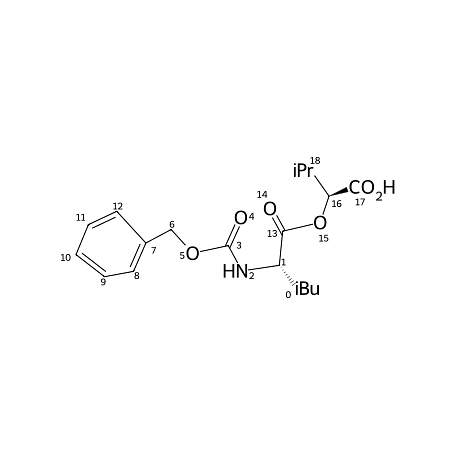 CCC(C)[C@H](NC(=O)OCc1ccccc1)C(=O)O[C@H](C(=O)O)C(C)C